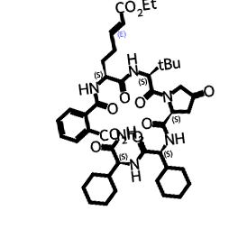 CCOC(=O)/C=C/CC[C@H](NC(=O)c1ccccc1C(=O)O)C(=O)N[C@H](C(=O)N1CC(=O)C[C@H]1C(=O)N[C@H](C(=O)N[C@H](C(N)=O)C1CCCCC1)C1CCCCC1)C(C)(C)C